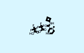 CN1CCNC[C@@H]1C(=O)NC1CCC1.O=C(O)C(F)(F)F.O=C(O)C(F)(F)F